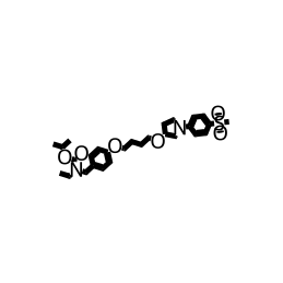 CCN(Cc1ccc(OCCCCOC2CCN(c3ccc(S(C)(=O)=O)cc3)C2)cc1)C(=O)OC(C)C